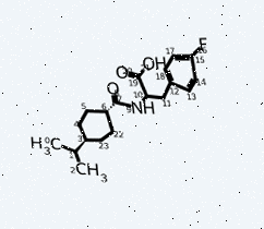 CC(C)[C@H]1CC[C@H](C(=O)NC(Cc2ccc(F)cc2)C(=O)O)CC1